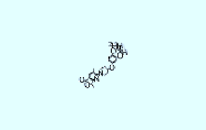 [2H]C1([2H])Oc2ccc(OC3CCN(c4nc5c(cc4C)C(=O)OC5C)CC3)cc2OC1([2H])[2H]